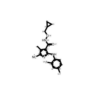 Cc1c(C#N)sc(Nc2ccc(I)cc2F)c1C(=O)NOCC1CC1